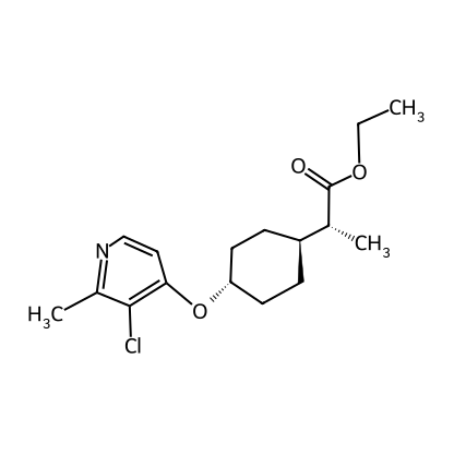 CCOC(=O)[C@H](C)[C@H]1CC[C@H](Oc2ccnc(C)c2Cl)CC1